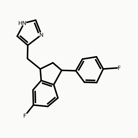 Fc1ccc(C2CC(Cc3c[nH]cn3)c3cc(F)ccc32)cc1